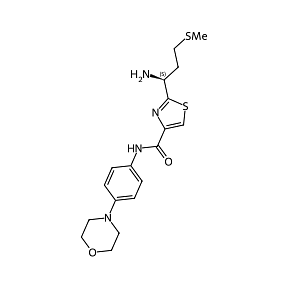 CSCC[C@H](N)c1nc(C(=O)Nc2ccc(N3CCOCC3)cc2)cs1